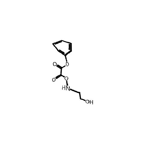 O=C(ONCCO)C(=O)Oc1ccccc1